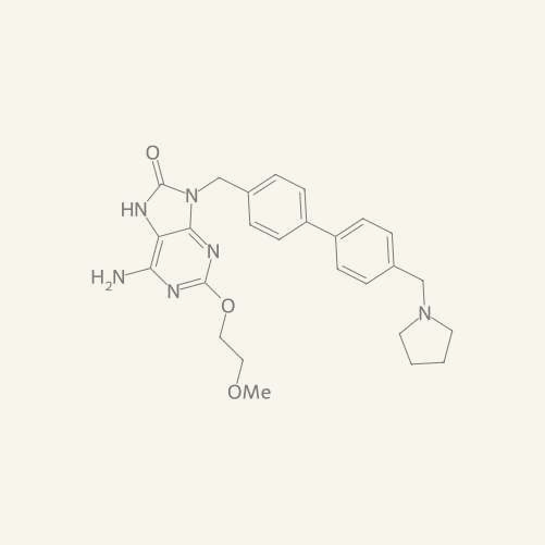 COCCOc1nc(N)c2[nH]c(=O)n(Cc3ccc(-c4ccc(CN5CCCC5)cc4)cc3)c2n1